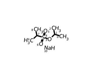 CC(C)OS(=O)(=O)C(C)C.[NaH]